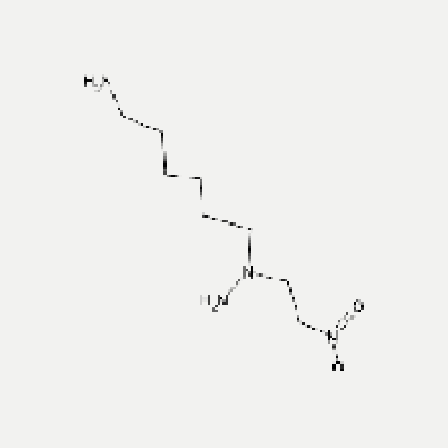 NCCCCCCN(N)CC[N+](=O)[O-]